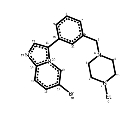 CCN1CCN(Cc2cccc(-c3cnc4ccc(Br)cn34)c2)CC1